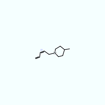 C=C/C=C\CN1CCC(C)CC1